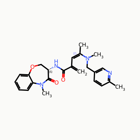 C=C(/C=C(/C)N(C)Cc1ccc(C)nc1)C(=O)N[C@H]1COc2ccccc2N(C)C1=O